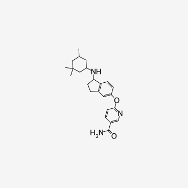 CC1CC(NC2CCc3cc(Oc4ccc(C(N)=O)cn4)ccc32)CC(C)(C)C1